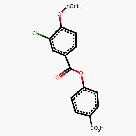 CCCCCCCCOc1ccc(C(=O)Oc2ccc(C(=O)O)cc2)cc1Cl